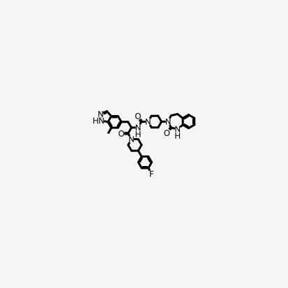 Cc1cc(CC(NC(=O)N2CCC(N3CCc4ccccc4NC3=O)CC2)C(=O)N2CCC(c3ccc(F)cc3)CC2)cc2cn[nH]c12